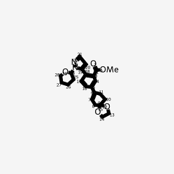 COC(=O)c1cc(C2=CCC3(CC2)OCCO3)ccc1-c1ccnn1C1CCCCO1